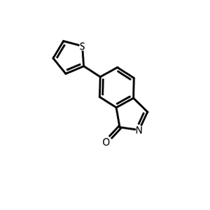 O=C1N=Cc2ccc(-c3cccs3)cc21